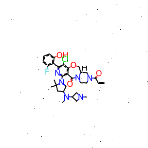 C=CC(=O)N1CCN2C(=O)c3c(N4CC(N(C)C5CN(C)C5)CC4(C)C)nc(-c4c(O)cccc4F)c(Cl)c3OC[C@H]2C1